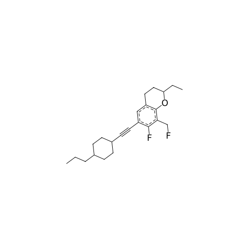 CCCC1CCC(C#Cc2cc3c(c(CF)c2F)OC(CC)CC3)CC1